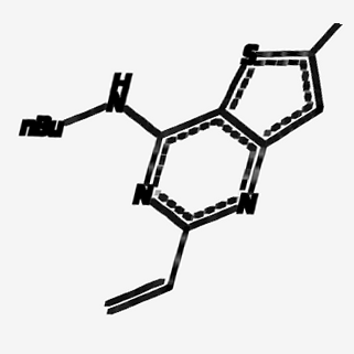 C=Cc1nc(NCCCC)c2sc(C)cc2n1